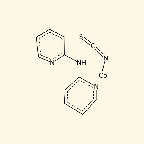 S=C=[N][Co].c1ccc(Nc2ccccn2)nc1